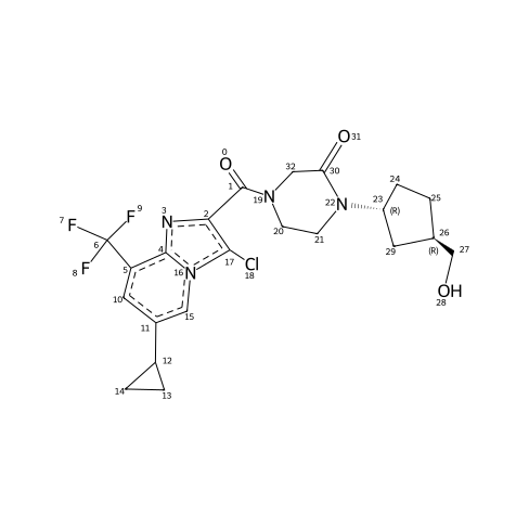 O=C(c1nc2c(C(F)(F)F)cc(C3CC3)cn2c1Cl)N1CCN([C@@H]2CC[C@@H](CO)C2)C(=O)C1